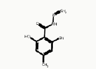 C=NNC(=O)c1c(O)cc(C)cc1O